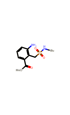 COC(=O)c1cccc(N)c1CS(=O)(=O)NC(C)(C)C